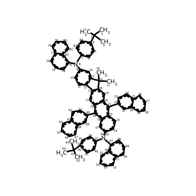 CC(C)(C)c1ccc(N(c2ccc3c(c2)C(C)(C)c2cc4c(-c5ccc6ccccc6c5)c5ccc(N(c6ccc(C(C)(C)C)cc6)c6cccc7ccccc67)cc5c(-c5ccc6ccccc6c5)c4cc2-3)c2cccc3ccccc23)cc1